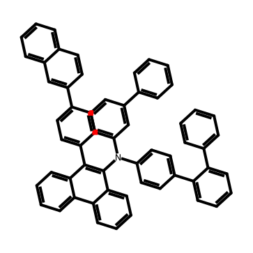 c1ccc(-c2cccc(N(c3ccc(-c4ccccc4-c4ccccc4)cc3)c3c(-c4ccc(-c5ccc6ccccc6c5)cc4)c4ccccc4c4ccccc34)c2)cc1